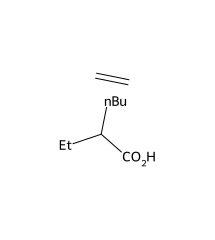 C=C.CCCCC(CC)C(=O)O